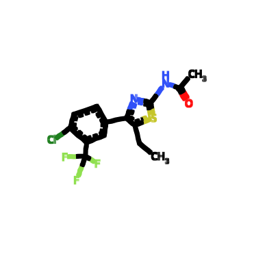 CCc1sc(NC(C)=O)nc1-c1ccc(Cl)c(C(F)(F)F)c1